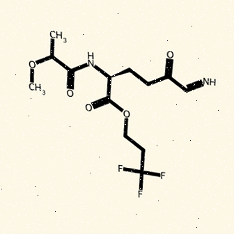 COC(C)C(=O)N[C@@H](CCC(=O)C=N)C(=O)OCCC(F)(F)F